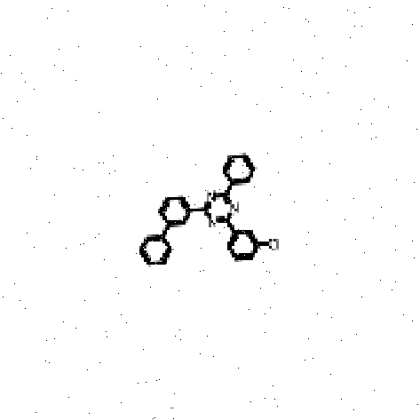 Clc1cccc(-c2nc(-c3ccccc3)nc(-c3cccc(-c4ccccc4)c3)n2)c1